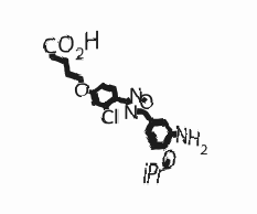 CC(C)Oc1ccc(-c2nc(-c3ccc(OCCCCC(=O)O)cc3Cl)no2)cc1N